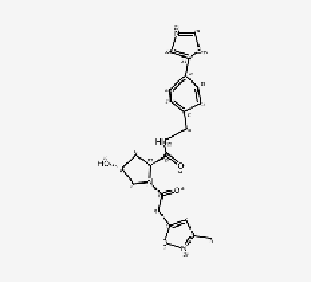 Cc1cc(CC(=O)N2C[C@H](O)C[C@H]2C(=O)NCc2ccc(-c3cncs3)cc2)on1